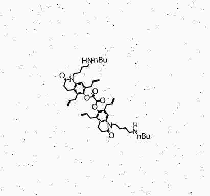 C=CCc1cc2c(c(CC=C)c1OC(=O)C(=O)Oc1c(CC=C)cc3c(c1CC=C)CCC(=O)N3CCCCNCCCC)CCC(=O)N2CCCCNCCCC